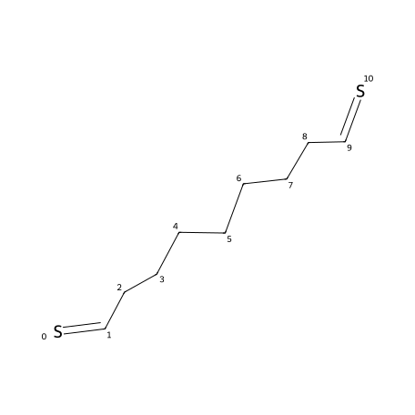 S=CCCCCCCCC=S